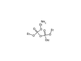 CCOP(=O)(O)OP(=O)(OCC)OCC.N